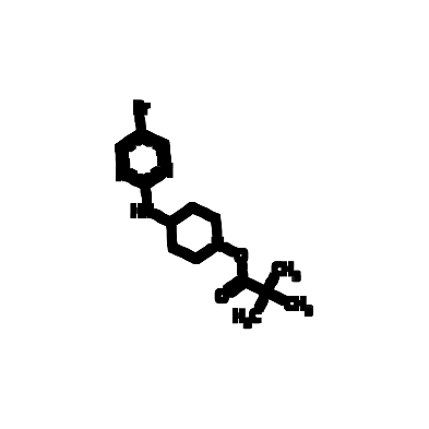 CC(C)(C)C(=O)ON1CCC(Nc2ncc(Br)cn2)CC1